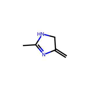 C=C1CNC(C)=N1